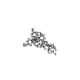 CC(C)C[C@H](NC(=O)C1=CC[C@@H](c2cccc(Br)c2)N(S(=O)(=O)c2ccc(F)cc2)[C@H]1c1cccc(Cl)c1)C(N)=O